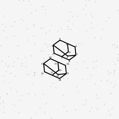 C1C2CC3CC1CC(C2)C3.C1C2CC3CC1CC(C2)C3